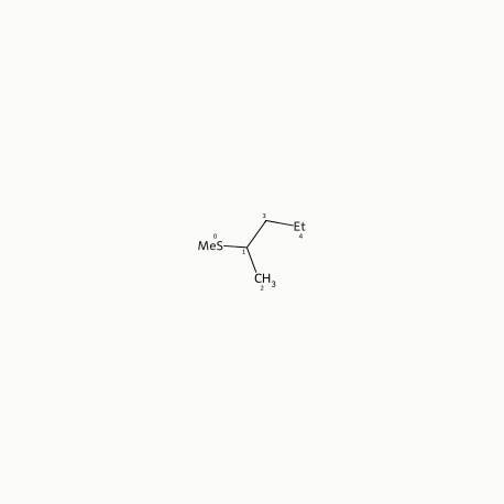 [CH2]SC(C)CCC